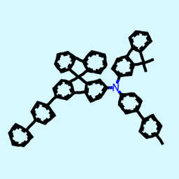 Cc1ccc(-c2ccc(N(c3ccc4c(c3)C(C)(C)c3ccccc3-4)c3ccc4c(c3)C3(c5ccccc5-c5ccccc53)c3ccc(-c5ccc(-c6ccccc6)cc5)cc3-4)cc2)cc1